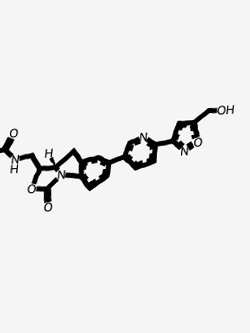 CC(=O)NCC1OC(=O)N2c3ccc(-c4ccc(-c5cc(CO)on5)nc4)cc3C[C@@H]12